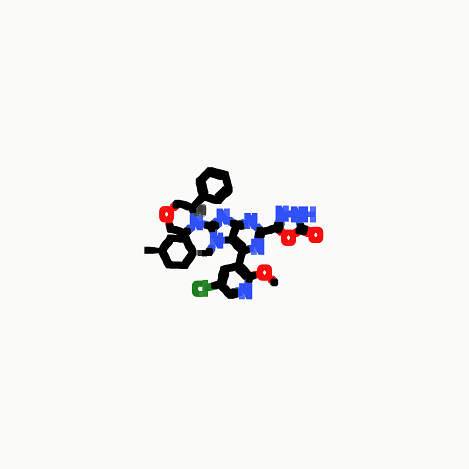 COc1ncc(Cl)cc1-c1nc(-c2n[nH]c(=O)o2)nc2nc(N3CCOC[C@H]3c3ccccc3)n(C[C@H]3CC[C@H](C)CC3)c12